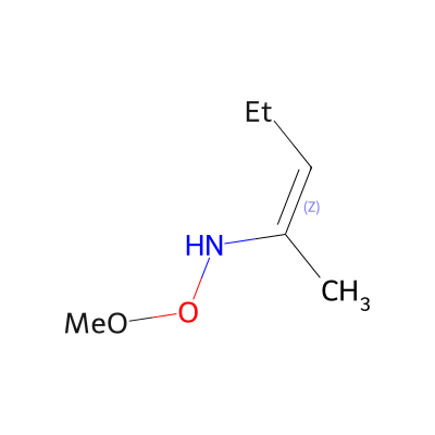 CC/C=C(/C)NOOC